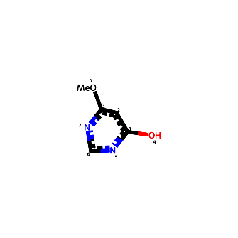 COc1cc(O)ncn1